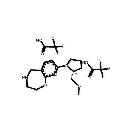 COC[C@H]1CCCN1c1ccc2c(n1)OCCNC2.O=C(O)C(F)(F)F.O=C(O)C(F)(F)F